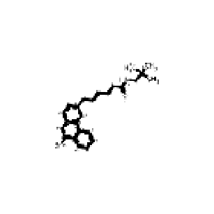 CC(C)(C)CNC(=O)/C=C/C=C/Cc1ccc2cc(Br)c3ccccc3c2c1